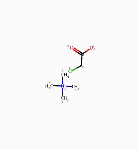 C[N+](C)(C)C.O=C([O-])CCl